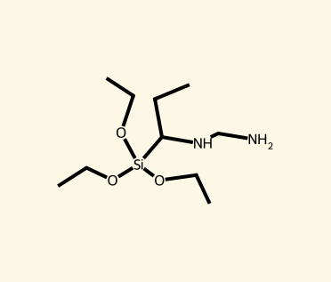 CCO[Si](OCC)(OCC)C(CC)NCN